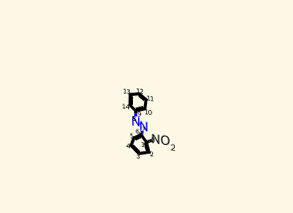 O=[N+]([O-])c1ccccc1/N=N/c1ccccc1